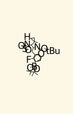 CC(C)(C)OC(=O)N1CC2(CC2)C(NS(C)(=O)=O)C1Cc1cccc(B2OC(C)(C)C(C)(C)O2)c1F